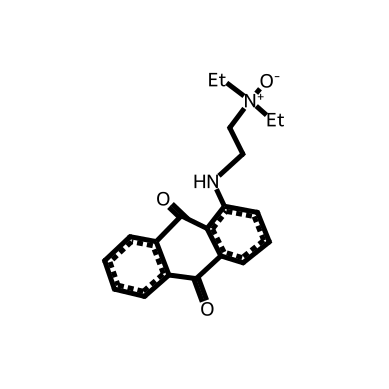 CC[N+]([O-])(CC)CCNc1cccc2c1C(=O)c1ccccc1C2=O